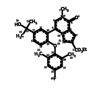 CCOC(=O)c1cc2c(=O)n(C)cc(-c3cc(C(C)(C)O)ccc3Oc3c(C)cc(F)cc3C)n2n1